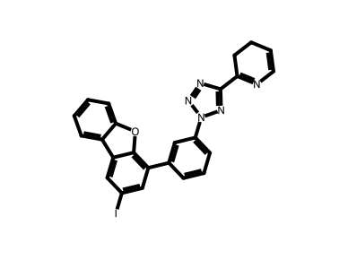 Ic1cc(-c2cccc(-n3nnc(C4=NC=CCC4)n3)c2)c2oc3ccccc3c2c1